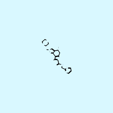 C[C@H]1Cc2oc(C(=O)NCc3ncccn3)c(C(F)(F)F)c2-c2nn(C[C@H]3COCCO3)cc21